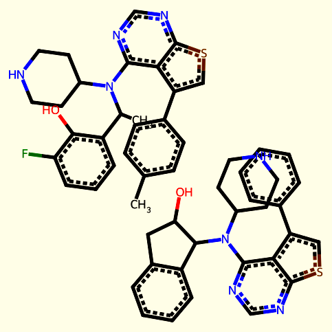 Cc1ccc(-c2csc3ncnc(N(C4CCNCC4)C(C)c4cccc(F)c4O)c23)cc1.OC1Cc2ccccc2C1N(c1ncnc2scc(-c3ccccc3)c12)C1CCNCC1